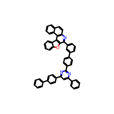 c1ccc(-c2ccc(-c3cc(-c4ccccc4)nc(-c4ccc(-c5cccc(-c6nc7ccc8ccccc8c7c7c6oc6ccccc67)c5)cc4)n3)cc2)cc1